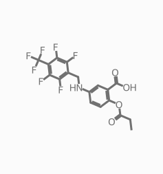 CCC(=O)Oc1ccc(NCc2c(F)c(F)c(C(F)(F)F)c(F)c2F)cc1C(=O)O